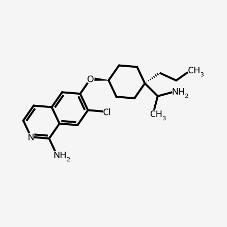 CCC[C@]1(C(C)N)CC[C@@H](Oc2cc3ccnc(N)c3cc2Cl)CC1